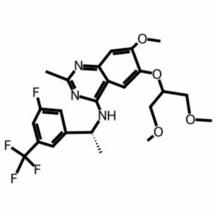 COCC(COC)Oc1cc2c(N[C@H](C)c3cc(F)cc(C(F)(F)F)c3)nc(C)nc2cc1OC